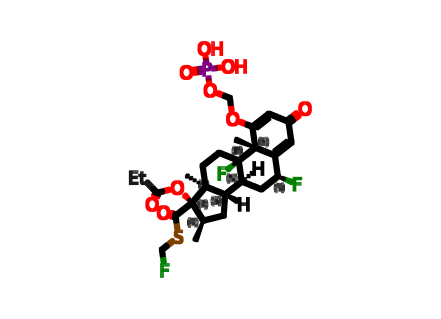 CCC(=O)O[C@]1(C(=O)SCF)[C@H](C)C[C@H]2[C@@H]3C[C@H](F)C4=CC(=O)C=C(OCOP(=O)(O)O)[C@@]4(C)[C@@]3(F)CC[C@@]21C